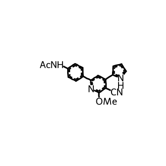 COc1nc(-c2ccc(NC(C)=O)cc2)cc(-c2ccc[nH]2)c1C#N